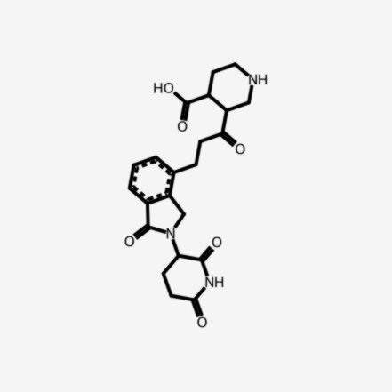 O=C1CCC(N2Cc3c(CCC(=O)C4CNCCC4C(=O)O)cccc3C2=O)C(=O)N1